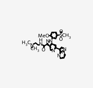 COc1ccc(S(C)(=O)=O)cc1-n1nc(C(=O)NCCN(C)C)c2cnc(-c3cnn4cccnc34)cc21